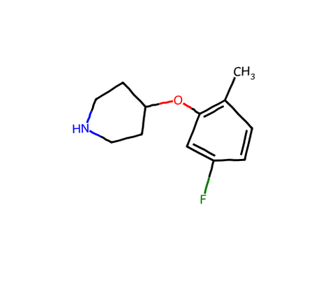 Cc1ccc(F)cc1OC1CCNCC1